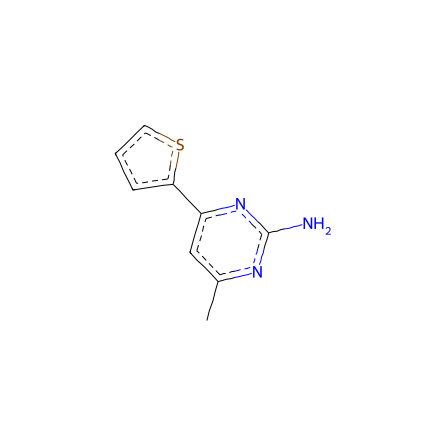 Cc1cc(-c2cccs2)nc(N)n1